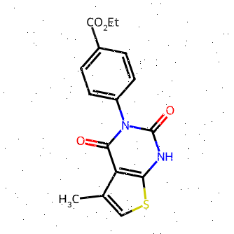 CCOC(=O)c1ccc(-n2c(=O)[nH]c3scc(C)c3c2=O)cc1